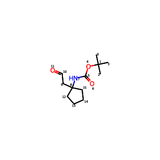 CC(C)(C)OC(=O)NC1(CC=O)CCCC1